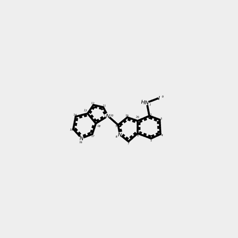 INc1cccc2cnc(-n3ccc4ccncc43)cc12